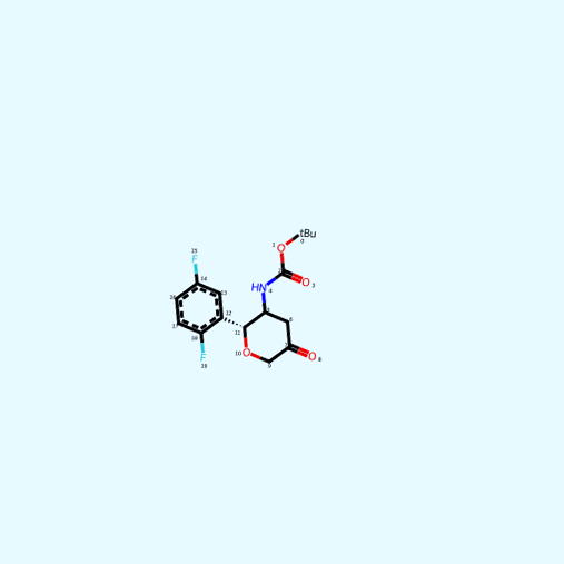 CC(C)(C)OC(=O)NC1CC(=O)CO[C@@H]1c1cc(F)ccc1F